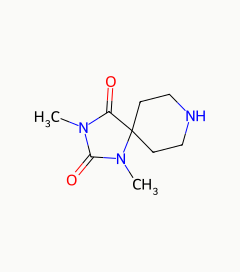 CN1C(=O)N(C)C2(CCNCC2)C1=O